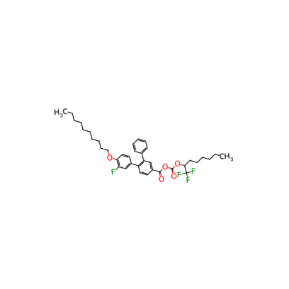 CCCCCCCCCCOc1ccc(-c2ccc(C(=O)OC(=O)OC(CCCCCC)C(F)(F)F)cc2-c2ccccc2)cc1F